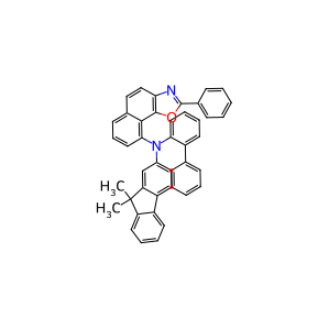 CC1(C)c2ccccc2-c2ccc(N(c3ccccc3-c3ccccc3)c3cccc4ccc5nc(-c6ccccc6)oc5c34)cc21